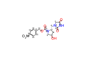 O=C1CN(C[C@@H]2C[C@@H](O)CN2C(=O)OCc2ccc([N+](=O)[O-])cc2)C(=O)N1